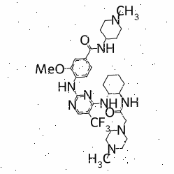 COc1cc(C(=O)NC2CCN(C)CC2)ccc1Nc1ncc(C(F)(F)F)c(N[C@@H]2CCCC[C@H]2NC(=O)CN2CCN(C)CC2)n1